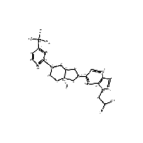 FC(F)Cn1ncc2ncc(N3CC4CN(c5cc(C(F)(F)F)ccn5)CC[C@@H]4C3)nc21